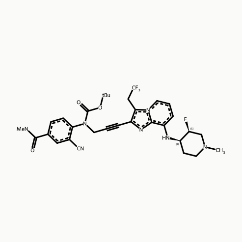 CNC(=O)c1ccc(N(CC#Cc2nc3c(N[C@@H]4CCN(C)C[C@@H]4F)cccn3c2CC(F)(F)F)C(=O)OC(C)(C)C)c(C#N)c1